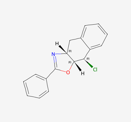 Cl[C@@H]1c2ccccc2C[C@H]2N=C(c3ccccc3)O[C@@H]12